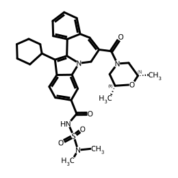 C[C@@H]1CN(C(=O)C2=Cc3ccccc3-c3c(C4CCCCC4)c4ccc(C(=O)NS(=O)(=O)N(C)C)cc4n3C2)C[C@H](C)O1